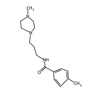 Cc1ccc(C(=O)NCCCN2CCN(C)CC2)cc1